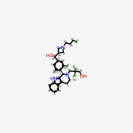 C[C@@H]1Cc2c([nH]c3ccccc23)[C@@H](c2c(F)cc([C@H](O)C3CN(CCCF)C3)cc2F)N1CC(F)(F)CO